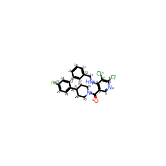 O=C(c1cnc(Cl)c(Cl)c1NCc1ccccc1)N1CCC(c2ccc(F)cc2)CC1